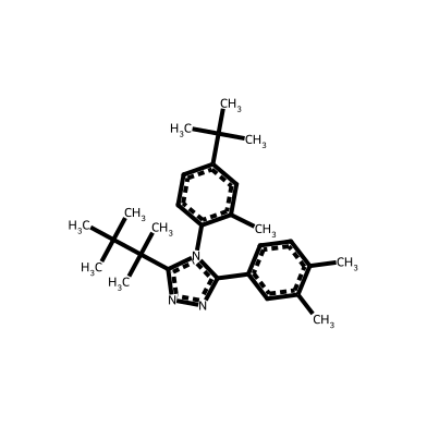 Cc1ccc(-c2nnc(C(C)(C)C(C)(C)C)n2-c2ccc(C(C)(C)C)cc2C)cc1C